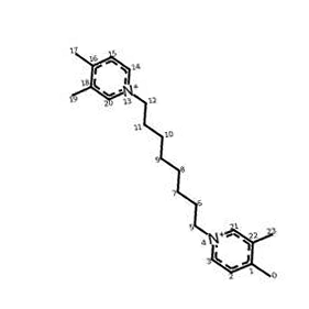 Cc1cc[n+](CCCCCCCC[n+]2ccc(C)c(C)c2)cc1C